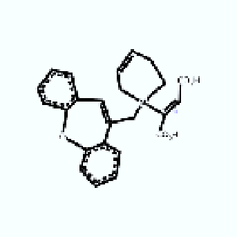 O=C(O)/C=C(/C(=O)O)[N+]1(CC2=Cc3ccccc3Oc3ccccc32)CC=CCC1